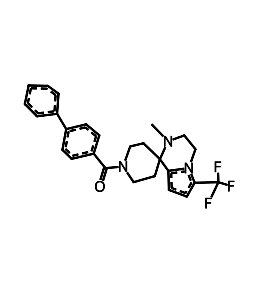 CN1CCn2c(C(F)(F)F)ccc2C12CCN(C(=O)c1ccc(-c3ccccc3)cc1)CC2